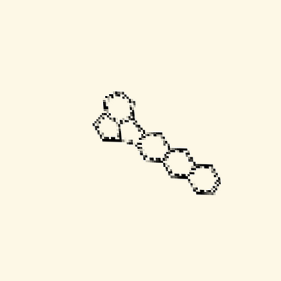 c1ccc2cc3cc4c(cc3cc2c1)c1cccc2ccc4n21